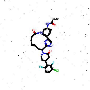 COC(=O)Nc1ccc2c(c1)NC(=O)CC/C=C/CC(N1CCC(c3c(F)ccc(Cl)c3F)CC1=O)c1nc-2c[nH]1